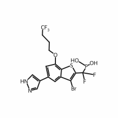 OP(O)C(F)(F)c1sc2c(OCCCC(F)(F)F)cc(-c3cn[nH]c3)cc2c1Br